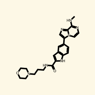 CNc1nccn2c(-c3ccc4[nH]c(C(=O)NCCCN5CCOCC5)cc4c3)cnc12